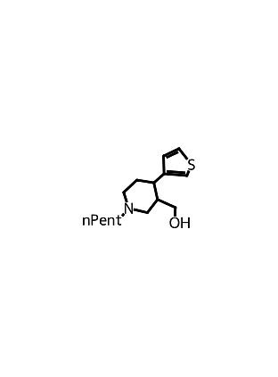 CCCCCN1CCC(c2ccsc2)C(CO)C1